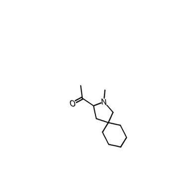 CC(=O)C1CC2(CCCCC2)CN1C